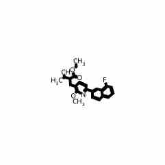 CCOC(=O)C(Cc1ccc(-c2ccc3cccc(F)c3c2)nc1OC)C(C)C